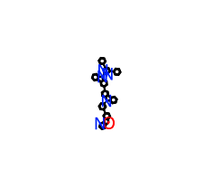 c1ccc(-c2cc(-c3ccccc3)nc(-n3c4ccccc4c4cc(-c5ccc6c(c5)c5ccccc5n6-c5cccc(-c6ccc7oc8cccnc8c7c6)c5)ccc43)n2)cc1